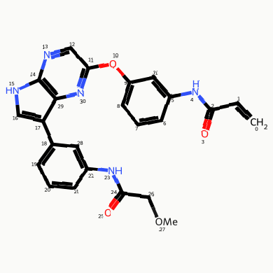 C=CC(=O)Nc1cccc(Oc2cnc3[nH]cc(-c4cccc(NC(=O)COC)c4)c3n2)c1